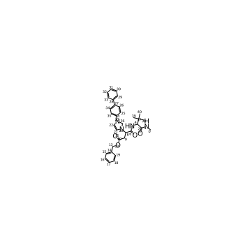 CNC(=O)C(NC(=O)C(CC(=O)OCc1ccccc1)N1C=CN(c2ccc(-c3ccccc3)cc2)C1)C(C)(C)C